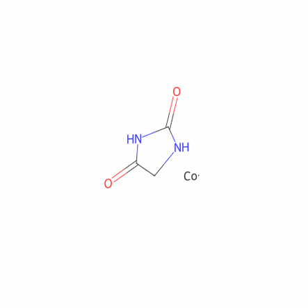 O=C1CNC(=O)N1.[Co]